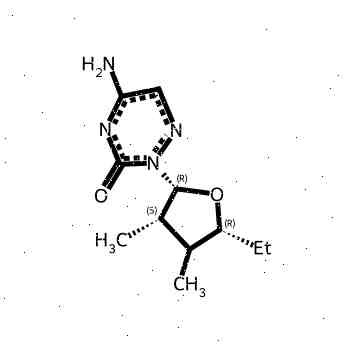 CC[C@H]1O[C@@H](n2ncc(N)nc2=O)[C@@H](C)C1C